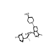 Cc1cc(F)ccc1[C@@H](C)Nc1nnc(C)c2ncc(N3CCC(O)CC3)cc12